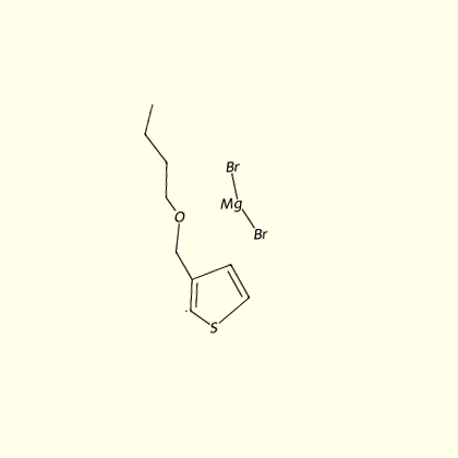 CCCCOCc1[c]scc1.[Br][Mg][Br]